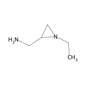 CCN1CC1CN